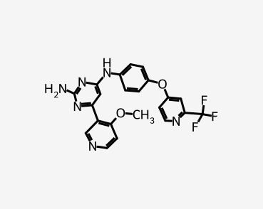 COc1ccncc1-c1cc(Nc2ccc(Oc3ccnc(C(F)(F)F)c3)cc2)nc(N)n1